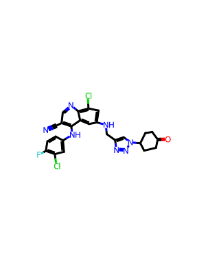 N#Cc1cnc2c(Cl)cc(NCc3cn(C4CCC(=O)CC4)nn3)cc2c1Nc1ccc(F)c(Cl)c1